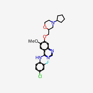 COc1cc2c(Nc3ccc(Cl)cc3F)ncnc2cc1OCC1CN(C2CCCC2)CCO1